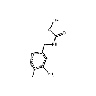 Cc1ccc(CNC(=O)OC(C)(C)C)cc1N